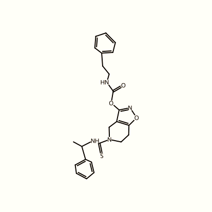 CC(NC(=S)N1CCc2onc(OC(=O)NCCc3ccccc3)c2C1)c1ccccc1